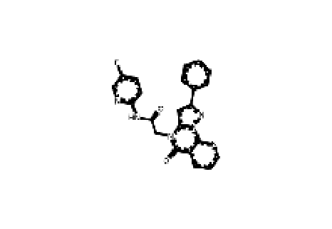 O=C(Cn1c(=O)c2cccnc2n2nc(-c3ccccc3)cc12)Nc1ccc(F)cn1